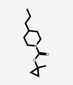 CCCC1CCN(C(=O)OC2(C)CC2)CC1